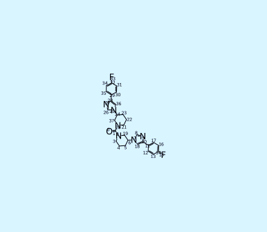 O=C(N1CCCC(n2cnc(-c3ccc(F)cc3)c2)C1)N1CCCC(n2cnc(-c3ccc(F)cc3)c2)C1